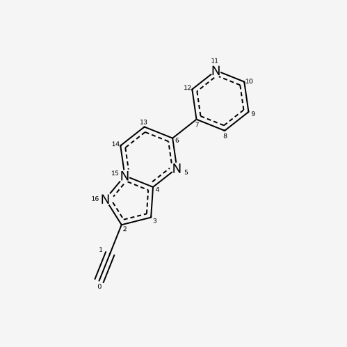 C#Cc1cc2nc(-c3cccnc3)ccn2n1